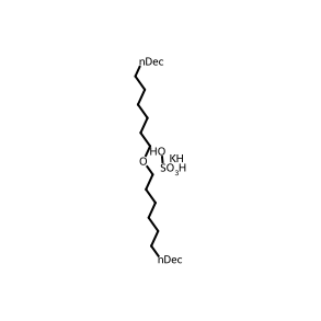 CCCCCCCCCCCCCCCCOCCCCCCCCCCCCCCCC.O=S(=O)(O)O.[KH]